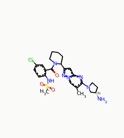 Cc1cn2nc(C3CCCCN3C(=O)c3cc(Cl)ccc3NS(C)(=O)=O)cc2nc1N1CC[C@H](N)C1